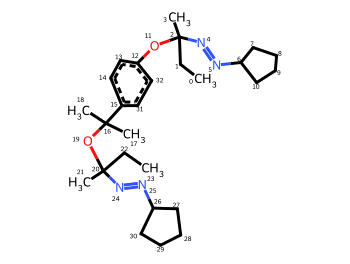 CCC(C)(N=NC1CCCC1)Oc1ccc(C(C)(C)OC(C)(CC)N=NC2CCCC2)cc1